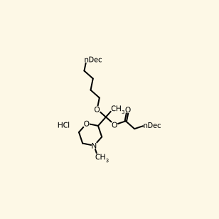 CCCCCCCCCCCCCCOC(C)(OC(=O)CCCCCCCCCCC)C1CN(C)CCO1.Cl